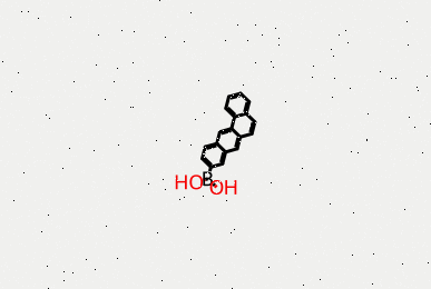 OB(O)c1ccc2cc3c(ccc4ccccc43)cc2c1